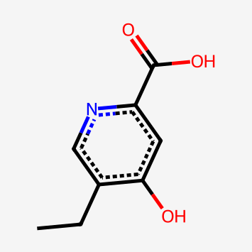 CCc1cnc(C(=O)O)cc1O